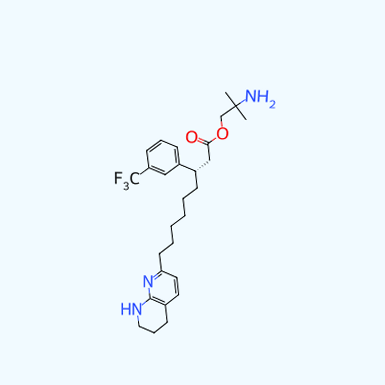 CC(C)(N)COC(=O)C[C@H](CCCCCCc1ccc2c(n1)NCCC2)c1cccc(C(F)(F)F)c1